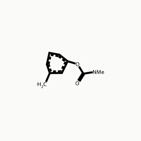 [CH2]c1cccc(OC(=O)NC)c1